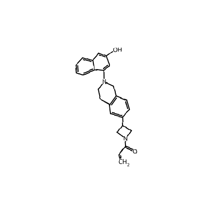 C=CC(=O)N1CC(c2ccc3c(c2)CCN(c2cc(O)cc4ccccc24)C3)C1